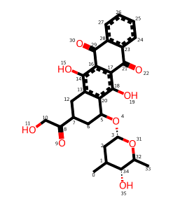 CC1C[C@H](OC2CC(C(=O)CO)Cc3c(O)c4c(c(O)c32)C(=O)c2ccccc2C4=O)OC(C)[C@@H]1O